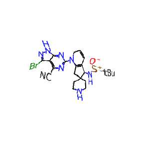 CC(C)(C)[S@@+]([O-])N[C@@H]1C2=C(CC13CCNCC3)N(c1nc(C#N)c3c(Br)n[nH]c3n1)CC=C2